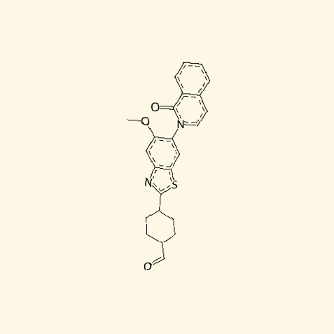 COc1cc2nc(C3CCC(C=O)CC3)sc2cc1-n1ccc2ccccc2c1=O